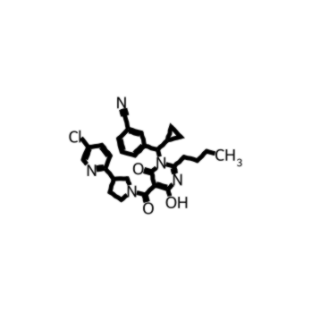 CCCCc1nc(O)c(C(=O)N2CCC(c3ccc(Cl)cn3)C2)c(=O)n1C(c1cccc(C#N)c1)C1CC1